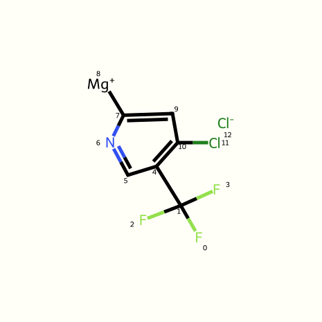 FC(F)(F)c1cn[c]([Mg+])cc1Cl.[Cl-]